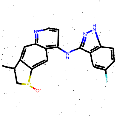 CC1C[S+]([O-])c2cc3c(Nc4n[nH]c5ccc(F)cc45)ccnc3cc21